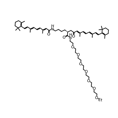 CCOCCOCCOCCOCCOCCOCCOCCNC(=O)[C@@H](CCCCNC(=O)/C=C(C)/C=C/C=C(C)/C=C/C1=C(C)CCCC1(C)C)CC(=O)/C=C(C)/C=C/C=C(C)/C=C/C1=C(C)CCCC1(C)C